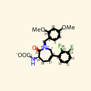 COc1ccc(C=[N+]2CC(c3cccc(F)c3F)=CC[C@@H](NC(=O)[O-])C2=O)c(OC)c1